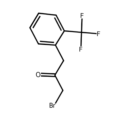 O=C(CBr)Cc1ccccc1C(F)(F)F